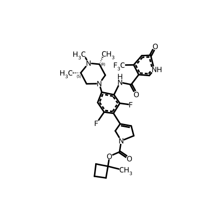 C[C@@H]1CN(c2cc(F)c(C3=CCN(C(=O)OC4(C)CCC4)C3)c(F)c2NC(=O)c2c[nH]c(=O)cc2C(F)(F)F)C[C@H](C)N1C